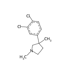 CN1CCC(C)(c2ccc(Cl)c(Cl)c2)C1